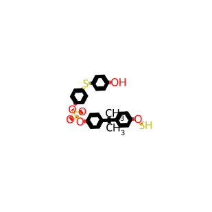 CC(C)(c1ccc(OS)cc1)c1ccc(OS(=O)(=O)Oc2ccc(Sc3ccc(O)cc3)cc2)cc1